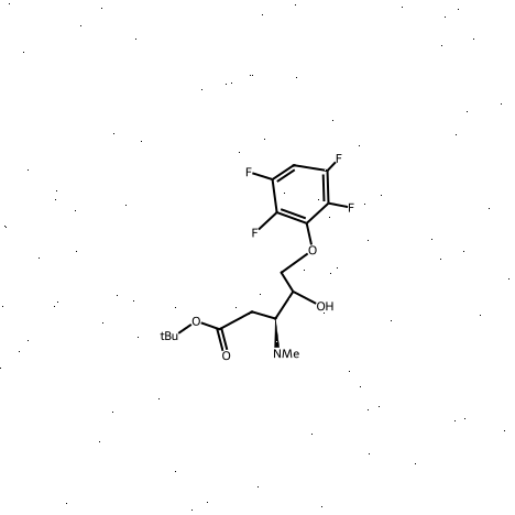 CN[C@@H](CC(=O)OC(C)(C)C)C(O)COc1c(F)c(F)cc(F)c1F